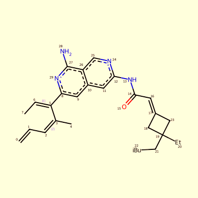 C=C/C=C(C)\C(=C/C)c1cc2cc(NC(=O)C=C3CC(CC)(CC(C)CC)C3)ncc2c(N)n1